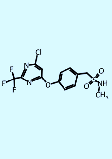 CNS(=O)(=O)Cc1ccc(Oc2cc(Cl)nc(C(F)(F)F)n2)cc1